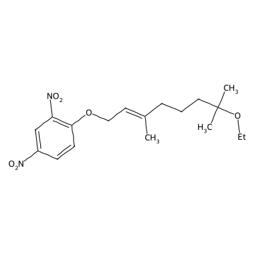 CCOC(C)(C)CCC/C(C)=C/COc1ccc([N+](=O)[O-])cc1[N+](=O)[O-]